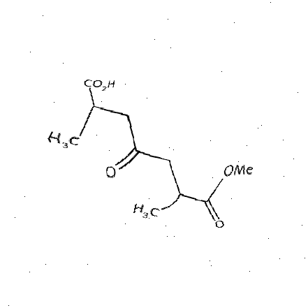 COC(=O)C(C)CC(=O)CC(C)C(=O)O